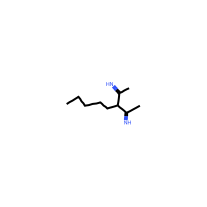 CCCCCC(C(C)=N)C(C)=N